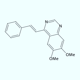 COc1cc2ncnc(/C=C/c3ccccc3)c2cc1OC